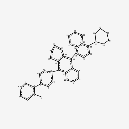 Cc1ccncc1-c1ccc(-c2c3ccccc3c(-c3ccc(C4CCCCC4)c4ccccc34)c3ccccc23)cc1